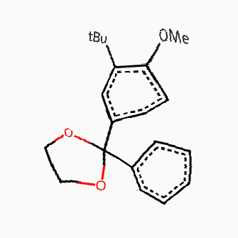 COc1ccc(C2(c3[c]cccc3)OCCO2)cc1C(C)(C)C